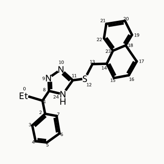 CCC(c1ccccc1)c1nnc(SCc2cccc3ccccc23)[nH]1